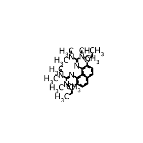 CCOc1ccc2ccc(OCC)c(N=C(N(C)C)N(C)C)c2c1N=C(N(C)C)N(C)C